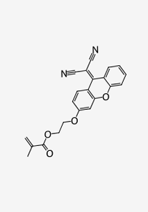 C=C(C)C(=O)OCCOc1ccc2c(c1)Oc1ccccc1C2=C(C#N)C#N